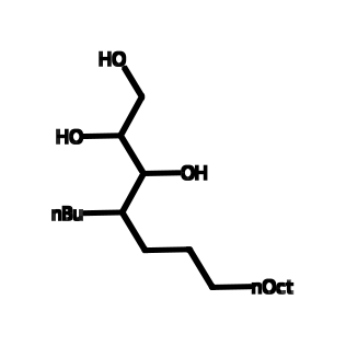 CCCCCCCCCCCC(CCCC)C(O)C(O)CO